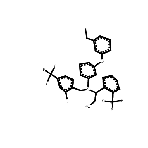 CCc1cccc(Oc2cccc(N(Cc3ccc(C(F)(F)F)cc3F)C(CO)c3ccccc3C(F)(F)F)c2)c1